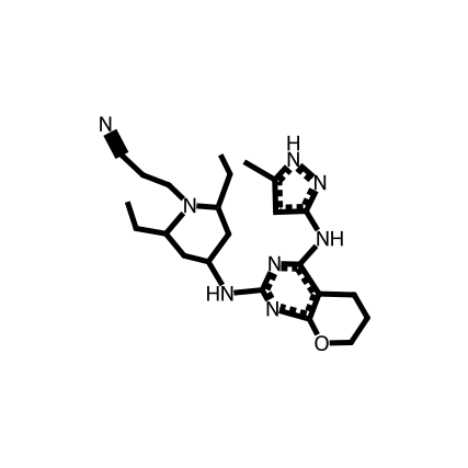 CCC1CC(Nc2nc(Nc3cc(C)[nH]n3)c3c(n2)OCCC3)CC(CC)N1CCC#N